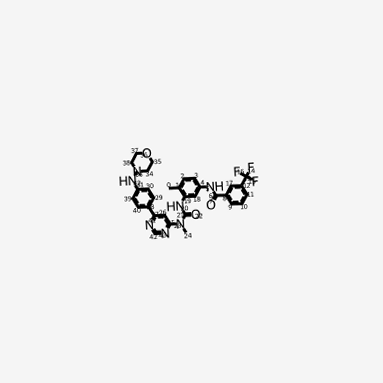 Cc1ccc(NC(=O)c2cccc(C(F)(F)F)c2)cc1NC(=O)N(C)c1cc(-c2ccc(NN3CCOCC3)cc2)ncn1